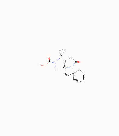 C=C[C@]1(N2C[C@H](C3(N(CC)C(=O)OC(C)(C)C)CC3)CC2=O)C=CC=CC1